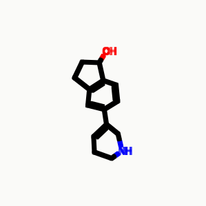 OC1CCc2cc(C3=CCCNC3)ccc21